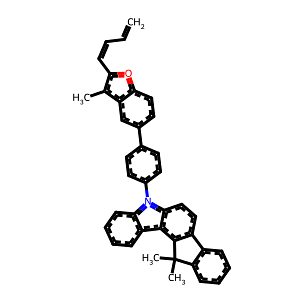 C=C/C=C\c1oc2ccc(-c3ccc(-n4c5ccccc5c5c6c(ccc54)-c4ccccc4C6(C)C)cc3)cc2c1C